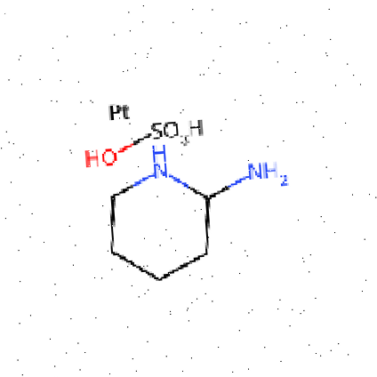 NC1CCCCN1.O=S(=O)(O)O.[Pt]